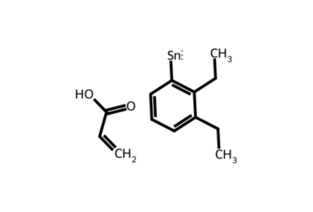 C=CC(=O)O.CCc1ccc[c]([Sn])c1CC